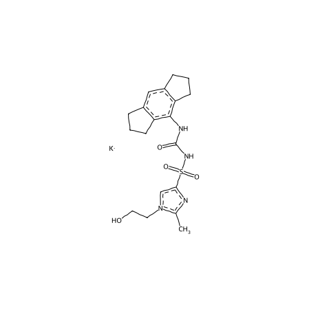 Cc1nc(S(=O)(=O)NC(=O)Nc2c3c(cc4c2CCC4)CCC3)cn1CCO.[K]